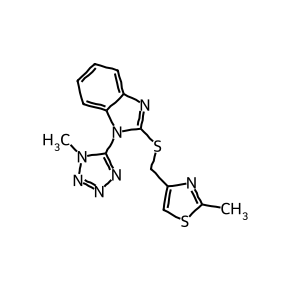 Cc1nc(CSc2nc3ccccc3n2-c2nnnn2C)cs1